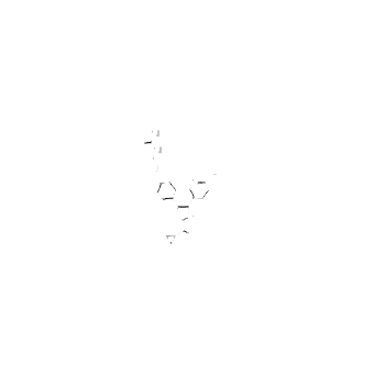 COc1ccc(-c2nc(C(=O)C3CC3)oc2-c2ccc(OCCNC(N)=O)cc2)cn1